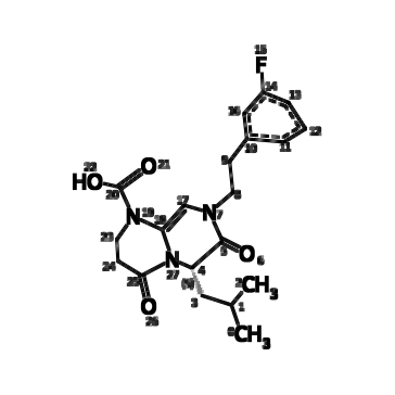 CC(C)C[C@H]1C(=O)N(CCc2cccc(F)c2)C=C2N(C(=O)O)CCC(=O)N21